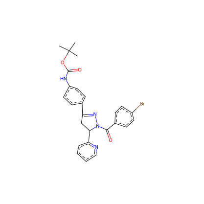 CC(C)(C)OC(=O)Nc1ccc(C2=NN(C(=O)c3ccc(Br)cc3)C(c3ccccn3)C2)cc1